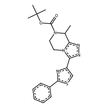 CC1c2nnc(-c3csc(-c4ccccc4)n3)n2CCN1C(=O)OC(C)(C)C